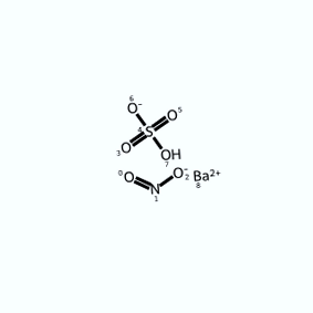 O=N[O-].O=S(=O)([O-])O.[Ba+2]